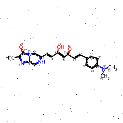 Cc1nc2c[nH]c(/C=C/C(O)=C/C(=O)/C=C/c3ccc(N(C)C)cc3)cn-2c1=O